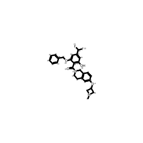 CN1CC(Oc2ccc3c(c2)CCN(C(=O)c2c(O)cc(C(F)F)cc2OCc2ccccc2)C3)C1